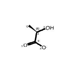 C[C@@H](O)C([O])=O